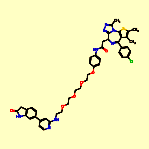 Cc1sc2c(c1C)C(c1ccc(Cl)cc1)=N[C@@H](CC(=O)Nc1ccc(OCCOCCOCCOCCNc3cc(-c4ccc5c(c4)NC(=O)C5)ccn3)cc1)c1nnc(C)n1-2